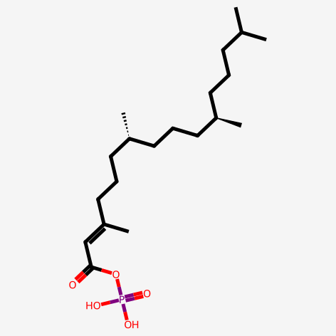 C/C(=C\C(=O)OP(=O)(O)O)CCC[C@H](C)CCC[C@H](C)CCCC(C)C